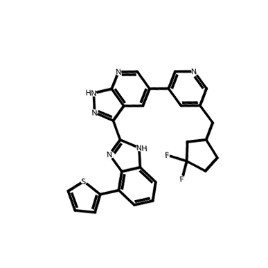 FC1(F)CCC(Cc2cncc(-c3cnc4[nH]nc(-c5nc6c(-c7cccs7)cccc6[nH]5)c4c3)c2)C1